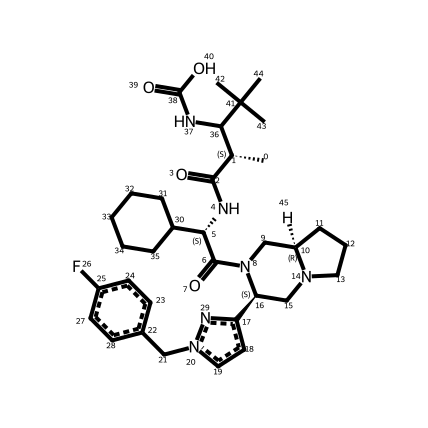 C[C@H](C(=O)N[C@H](C(=O)N1C[C@H]2CCCN2C[C@H]1c1ccn(Cc2ccc(F)cc2)n1)C1CCCCC1)C(NC(=O)O)C(C)(C)C